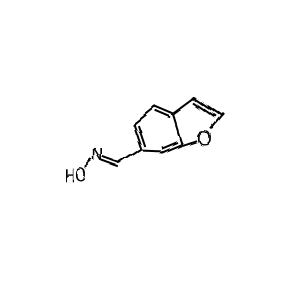 O/N=C/c1ccc2ccoc2c1